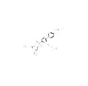 COCOc1cc(C(N[C@@H](CC(C)C)C(=O)OC)C(F)(F)F)ccc1-c1ccc(S(C)(=O)=O)cc1F